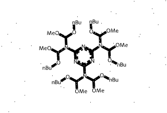 CCCCOC(OC)N(c1nc(N(C(OC)OCCCC)C(OC)OCCCC)nc(N(C(OC)OCCCC)C(OC)OCCCC)n1)C(OC)OCCCC